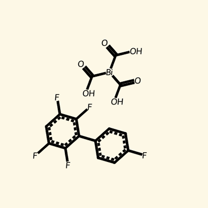 Fc1ccc(-c2c(F)c(F)cc(F)c2F)cc1.O=[C](O)[Bi]([C](=O)O)[C](=O)O